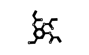 C=CC(=O)Oc1cc(C=O)cc(OC(=O)C=C)c1OC(=O)C=C